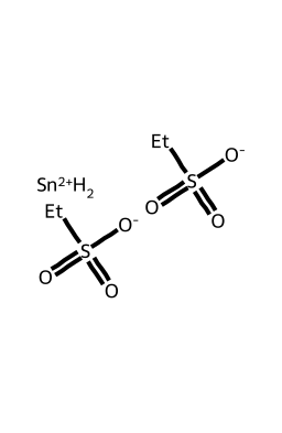 CCS(=O)(=O)[O-].CCS(=O)(=O)[O-].[SnH2+2]